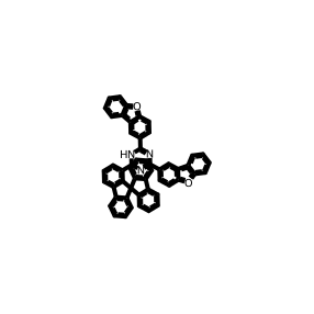 c1ccc2c(c1)-c1ccccc1C21c2ccccc2-c2cccc(C3N=C(c4ccc5oc6ccccc6c5c4)N=C(c4ccc5oc6ccccc6c5c4)N3)c21